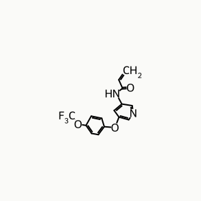 C=CC(=O)Nc1cncc(Oc2ccc(OC(F)(F)F)cc2)c1